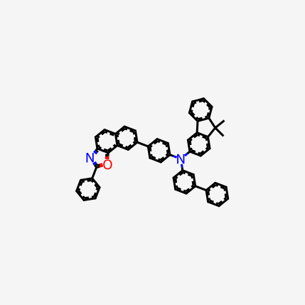 CC1(C)c2ccccc2-c2cc(N(c3ccc(-c4ccc5ccc6nc(-c7ccccc7)oc6c5c4)cc3)c3cccc(-c4ccccc4)c3)ccc21